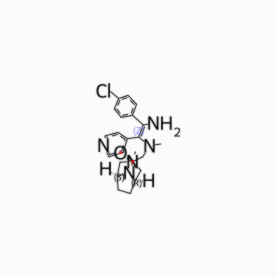 CN1C[C@H]2CC[C@@H](C1)N2C(=O)CN(C)/C(=C(\N)c1ccc(Cl)cc1)c1ccncc1